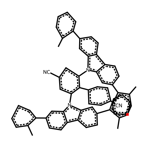 Cc1ccccc1-c1ccc2c3ccc(-c4ccccc4C)cc3n(-c3cc(C#N)cc(-n4c5cc(-c6ccccc6C)ccc5c5ccc(-c6ccccc6C)cc54)c3-c3ccc(C#N)cc3)c2c1